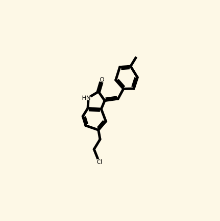 Cc1ccc(C=C2C(=O)Nc3ccc(CCCl)cc32)cc1